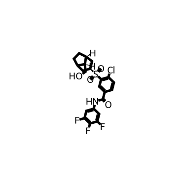 O=C(Nc1cc(F)c(F)c(F)c1)c1ccc(Cl)c(S(=O)(=O)[C@H]2CC3CC[C@@H](C2)[C@H]3CO)c1